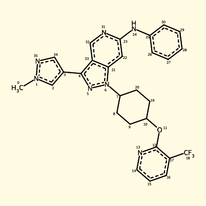 Cn1cc(-c2nn(C3CCC(Oc4ncccc4C(F)(F)F)CC3)c3cc(Nc4ccccc4)ncc23)cn1